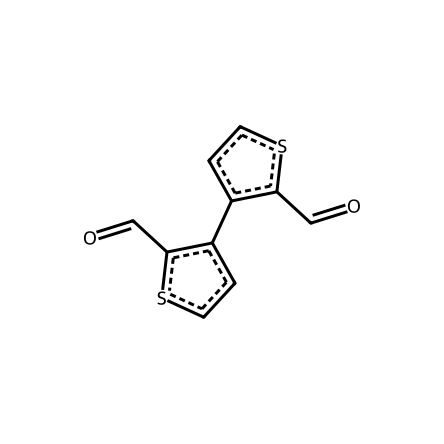 O=Cc1sccc1-c1ccsc1C=O